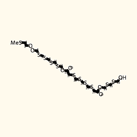 CSCCOOCSCSCSCSCOC(=O)CSCSCSCSCC(=O)OCSCSCO